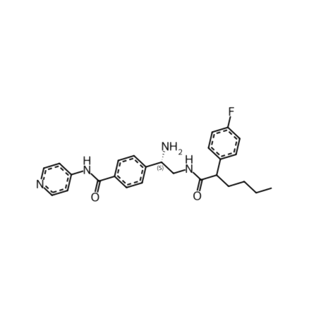 CCCCC(C(=O)NC[C@@H](N)c1ccc(C(=O)Nc2ccncc2)cc1)c1ccc(F)cc1